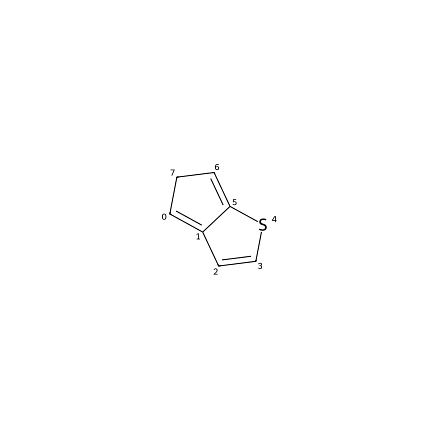 C1=c2ccsc2=CC1